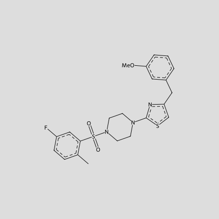 COc1cccc(Cc2csc(N3CCN(S(=O)(=O)c4cc(F)ccc4C)CC3)n2)c1